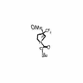 CO[C@]1(C(F)(F)F)CCN(C(=O)OC(C)(C)C)C1